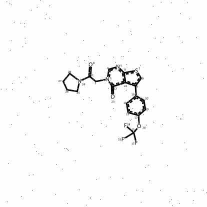 O=C(Cn1cnc2scc(-c3ccc(OC(F)(F)F)cc3)c2c1=O)N1CCCC1